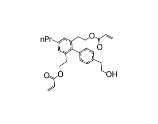 C=CC(=O)OCCc1cc(CCC)cc(CCOC(=O)C=C)c1-c1ccc(CCO)cc1